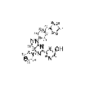 Oc1cncc(-c2nc(N3CCOCC3)c3cnn(C4CCN(Cc5ccccc5)CC4)c3n2)c1